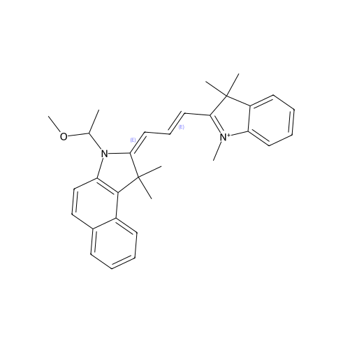 COC(C)N1/C(=C/C=C/C2=[N+](C)c3ccccc3C2(C)C)C(C)(C)c2c1ccc1ccccc21